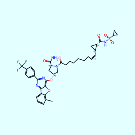 Cc1cccc2c1oc1c(O[C@@H]3C[C@@H](C(N)=O)N(C(=O)CCCCCC/C=C\[C@@H]4C[C@@H]4C(=O)NS(=O)(=O)C4CC4)C3)nc(-c3ccc(C(F)(F)F)cc3)nc12